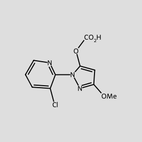 COc1cc(OC(=O)O)n(-c2ncccc2Cl)n1